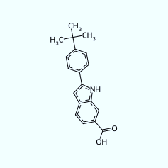 CC(C)(C)c1ccc(-c2cc3ccc(C(=O)O)cc3[nH]2)cc1